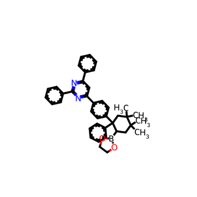 CC1(C)CC(B2OCCO2)C(c2ccccc2)(c2ccc(-c3cc(-c4ccccc4)nc(-c4ccccc4)n3)cc2)CC1(C)C